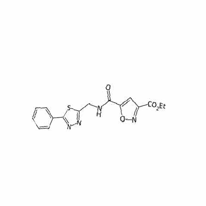 CCOC(=O)c1cc(C(=O)NCc2nnc(-c3ccccc3)s2)on1